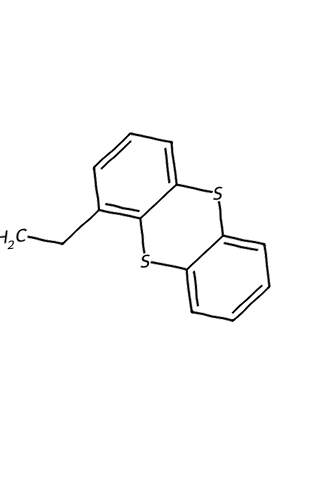 [CH2]Cc1cccc2c1Sc1ccccc1S2